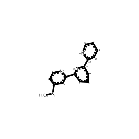 CSc1ccnc(-c2cccc(-c3ccccn3)n2)c1